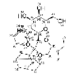 CCCC.COC1(C23CC4CC(CC(C4)C2)C3)OCCOC1(c1ccccc1)[C@@H]1O[C@H](CO)[C@H](O)[C@H](O)[C@H]1O